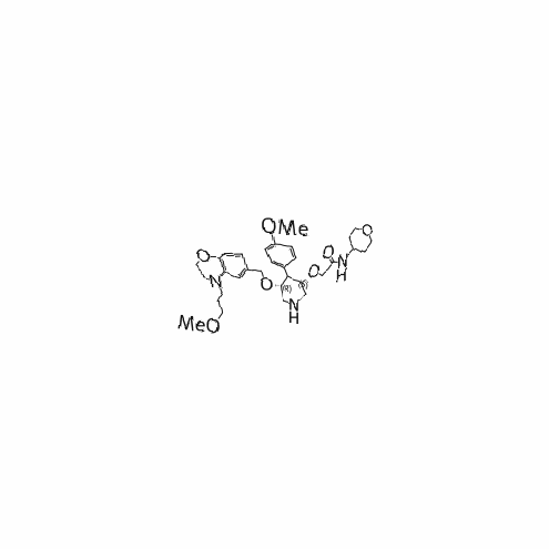 COCCCN1CCOc2ccc(CO[C@H]3CNC[C@@H](OCC(=O)NC4CCOCC4)C3c3ccc(OC)cc3)cc21